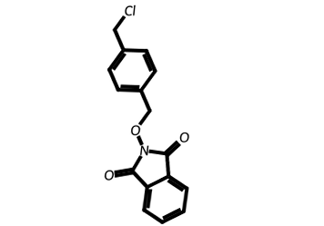 O=C1c2ccccc2C(=O)N1OCc1ccc(CCl)cc1